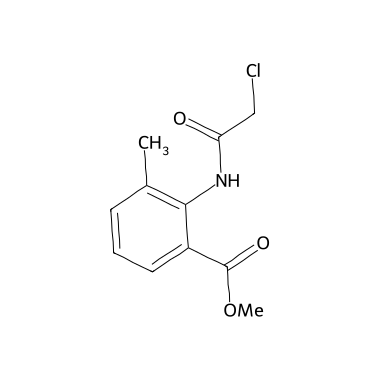 COC(=O)c1cccc(C)c1NC(=O)CCl